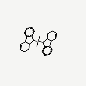 C[Si](C)(C1c2ccccc2C2C=CCCC21)C1c2ccccc2C2C=CCCC21